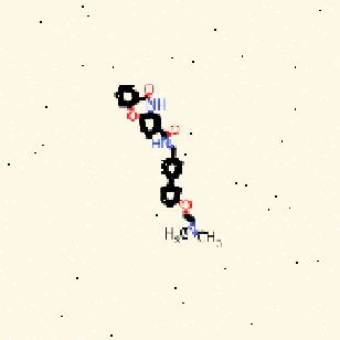 CN(C)CCOc1cccc(-c2ccc(CNC(=O)c3ccc4c(c3)NC(=O)c3ccccc3O4)cc2)c1